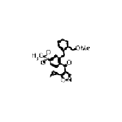 COCc1ccccc1Cc1cc(S(C)(=O)=O)ccc1C(=O)c1cnoc1C1CC1